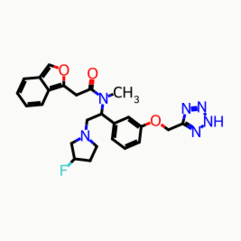 CN(C(=O)Cc1occ2ccccc12)C(CN1CCC(F)C1)c1cccc(OCc2nn[nH]n2)c1